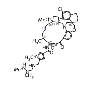 CO[C@H]1/C=C/C[C@H](C)C[S@@](=O)(NC(=O)c2cc(CNC[C@@H](C)NC(C)C)n(C)c2)=NC(=O)c2ccc3c(c2)N(C[C@@H]2CC[C@H]21)C[C@@]1(CCCc2cc(Cl)ccc21)CO3